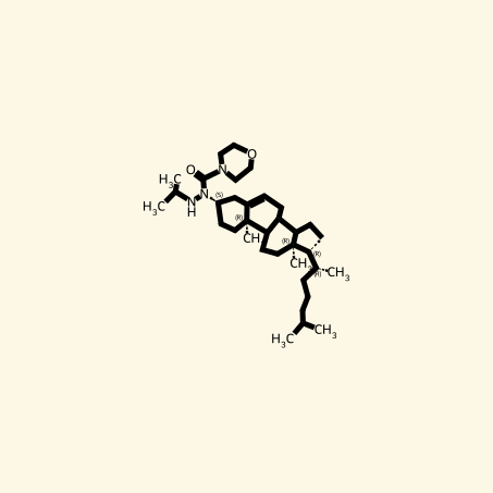 CC(C)CCC[C@@H](C)[C@H]1CCC2C3CC=C4C[C@@H](N(NC(C)C)C(=O)N5CCOCC5)CC[C@]4(C)C3CC[C@@]21C